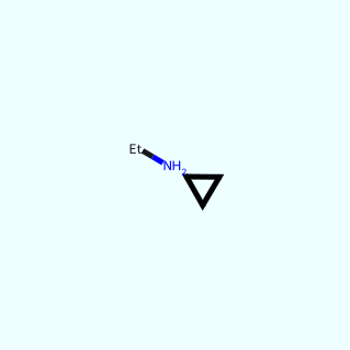 C1CC1.CCN